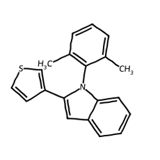 Cc1cccc(C)c1-n1c(-c2ccsc2)cc2ccccc21